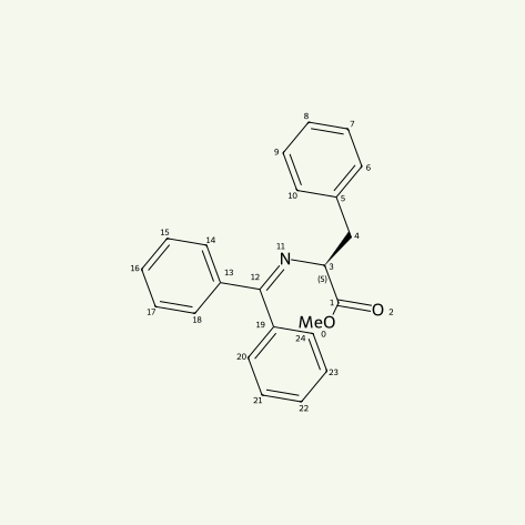 COC(=O)[C@H](Cc1ccccc1)N=C(c1ccccc1)c1ccccc1